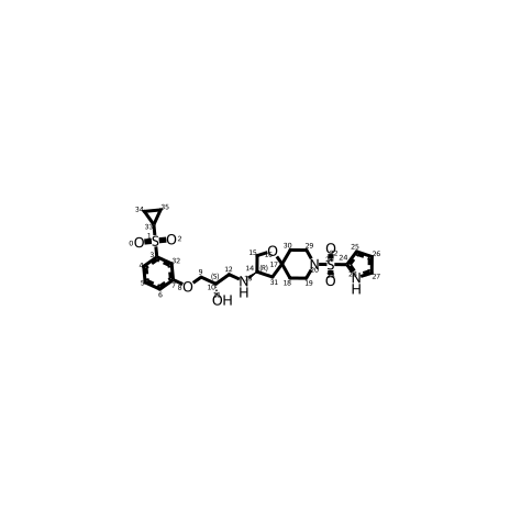 O=S(=O)(c1cccc(OC[C@@H](O)CN[C@H]2COC3(CCN(S(=O)(=O)c4ccc[nH]4)CC3)C2)c1)C1CC1